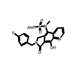 CNS(=O)(=O)N(C)c1c2c(c(O)c3ncccc13)C(=O)N(Cc1ccc(F)cc1)C2